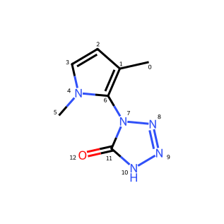 Cc1ccn(C)c1-n1nn[nH]c1=O